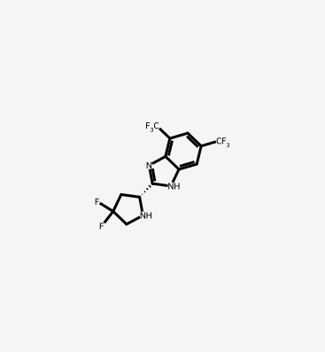 FC1(F)CN[C@@H](c2nc3c(C(F)(F)F)cc(C(F)(F)F)cc3[nH]2)C1